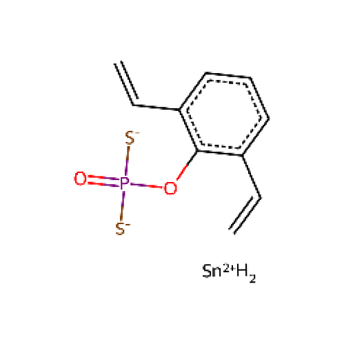 C=Cc1cccc(C=C)c1OP(=O)([S-])[S-].[SnH2+2]